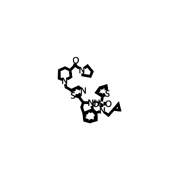 O=C(C1CCCN(Cc2cnc(C3Cc4cccc(N(CC5CC5)S(=O)(=O)c5cccs5)c4N3)s2)C1)N1CCCC1